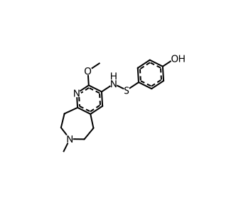 COc1nc2c(cc1NSc1ccc(O)cc1)CCN(C)CC2